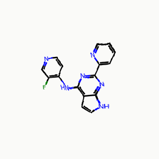 Fc1cnccc1Nc1nc(-c2ccccn2)nc2[nH]ccc12